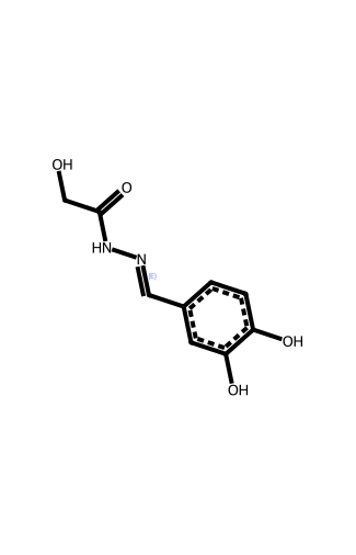 O=C(CO)N/N=C/c1ccc(O)c(O)c1